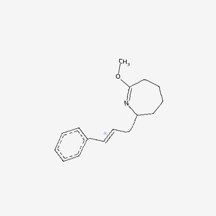 COC1=NC(C/C=C/c2ccccc2)CCCC1